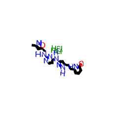 Cc1cc(CNc2nccc(Nc3cc(CCc4cccc(=O)[nH]4)[nH]n3)n2)on1.Cl.Cl